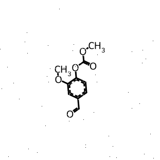 COC(=O)Oc1ccc(C=O)cc1OC